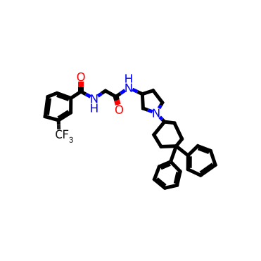 O=C(CNC(=O)c1cccc(C(F)(F)F)c1)NC1CCN(C2CCC(c3ccccc3)(c3ccccc3)CC2)C1